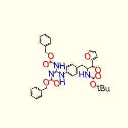 CC(C)(C)OC(=O)NC(Cc1ccc(N/C(=N\C(=O)OCc2ccccc2)NC(=O)OCc2ccccc2)cc1)C(=O)c1ccco1